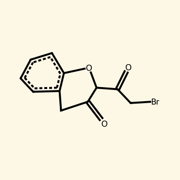 O=C(CBr)C1Oc2ccccc2CC1=O